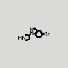 Brc1ccc2c(cnn2C2CCNC2)c1